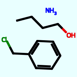 CCCCO.ClCc1ccccc1.N